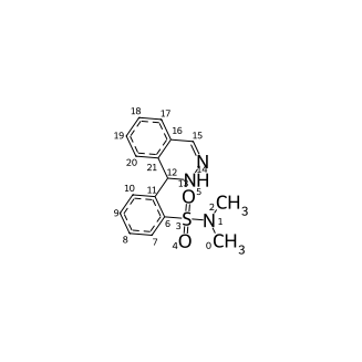 CN(C)S(=O)(=O)c1ccccc1C1NN=Cc2ccccc21